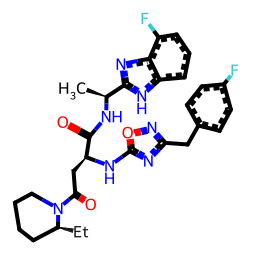 CC[C@H]1CCCCN1C(=O)C[C@H](Nc1nc(Cc2ccc(F)cc2)no1)C(=O)N[C@@H](C)c1nc2c(F)cccc2[nH]1